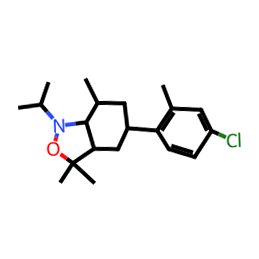 Cc1cc(Cl)ccc1C1CC(C)C2C(C1)C(C)(C)ON2C(C)C